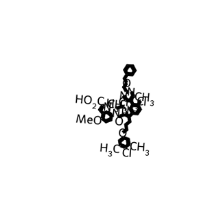 COc1ccc(N2C[C@@H](C)n3c(c(CCCOc4cc(C)c(Cl)c(C)c4)c4ccc(Cl)c(-c5c(C)nc(COCc6ccccc6)nc5C)c43)C2=O)c2c1cc(C(=O)O)n2C